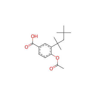 CC(=O)Oc1ccc(C(=O)O)cc1C(C)(C)CC(C)(C)C